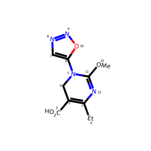 CCC1=C(C(=O)O)CN(c2cnno2)C(OC)=N1